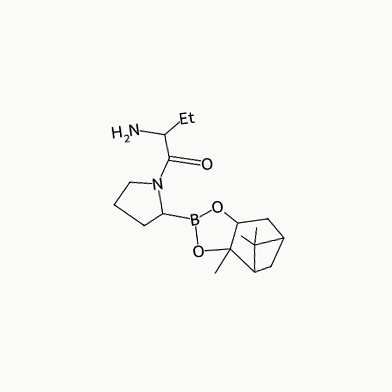 CCC(N)C(=O)N1CCCC1B1OC2CC3CC(C3(C)C)C2(C)O1